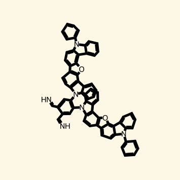 N=Cc1cc(-n2c3ccccc3c3c4oc5c(ccc6c5c5ccccc5n6-c5ccccc5)c4ccc32)c(-n2c3ccccc3c3c4oc5c(ccc6c5c5ccccc5n6-c5ccccc5)c4ccc32)cc1C=N